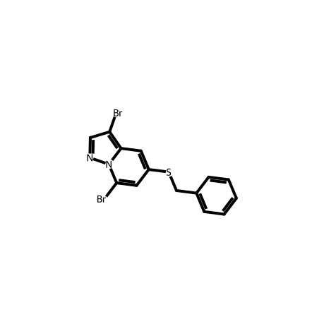 Brc1cnn2c(Br)cc(SCc3ccccc3)cc12